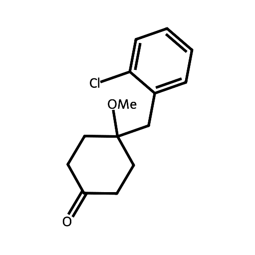 COC1(Cc2ccccc2Cl)CCC(=O)CC1